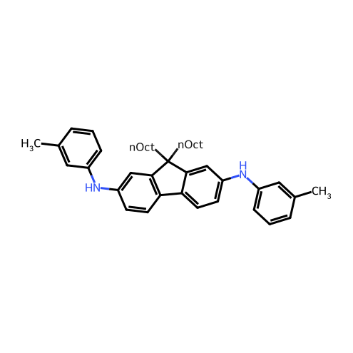 CCCCCCCCC1(CCCCCCCC)c2cc(Nc3cccc(C)c3)ccc2-c2ccc(Nc3cccc(C)c3)cc21